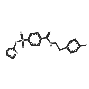 O=C(NCCc1ccc(F)cc1)c1ccc(S(=O)(=O)Nc2nccs2)cc1